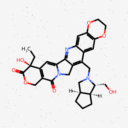 CC[C@@]1(O)C(=O)OCc2c1cc1n(c2=O)Cc2c-1nc1cc3c(cc1c2CN1C[C@@H]2CCC[C@@H]2[C@H]1CO)OCCO3